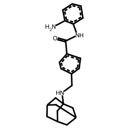 Nc1ccccc1NC(=O)c1ccc(CNC23CC4CC(CC(C4)C2)C3)cc1